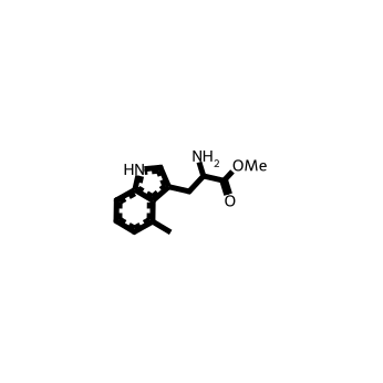 COC(=O)C(N)Cc1c[nH]c2cccc(C)c12